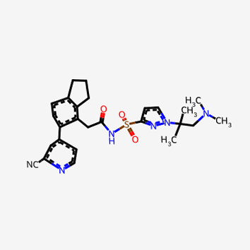 CN(C)CC(C)(C)n1ccc(S(=O)(=O)NC(=O)Cc2c(-c3ccnc(C#N)c3)ccc3c2CCC3)n1